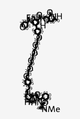 CCN(c1cc(-c2ccc(OCCOCCOCCOCCOCCOc3ccc(CCN4CC[C@H]5CCN(C(=O)C(NC(=O)[C@H](C)NC)C6CCCCC6)[C@H]5C4)cc3)cc2)cc(C(=O)NCc2c(C)cc(C)[nH]c2=O)c1C)C1CCOCC1